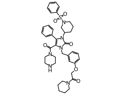 O=C(COc1cccc(Cn2c(C(=O)N3CCNCC3)c(-c3ccccc3)n(C3CCCN(S(=O)(=O)c4ccccc4)C3)c2=O)c1)N1CCCCC1